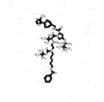 Cc1ncsc1-c1ccc(CNC(=O)[C@@H]2CC(O[Si](C)(C)C(C)(C)C)CN2C(=O)[C@@H](NCCN(CCCCCOC(=O)c2ccccc2)C(=O)OC(C)(C)C)C(C)(C)C)cc1